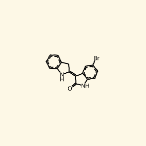 O=C1Nc2ccc(Br)cc2/C1=C1\Cc2ccccc2N1